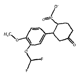 COc1ccc(C2CC(=O)CCC2[N+](=O)[O-])cc1OC(F)F